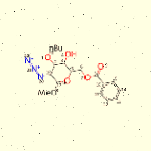 CCCCOC1C(O)C(COC(=O)c2ccccc2)OC(OC)C1N=[N+]=[N-]